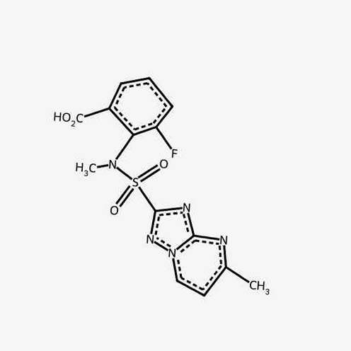 Cc1ccn2nc(S(=O)(=O)N(C)c3c(F)cccc3C(=O)O)nc2n1